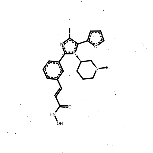 CCN1CCC[C@@H](n2c(-c3cccc(/C=C/C(=O)NO)c3)nc(C)c2-c2ccco2)C1